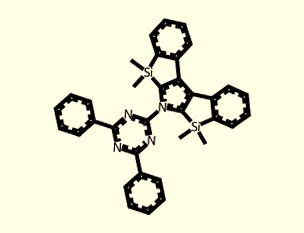 C[Si]1(C)c2ccccc2-c2c3c(n(-c4nc(-c5ccccc5)nc(-c5ccccc5)n4)c21)[Si](C)(C)c1ccccc1-3